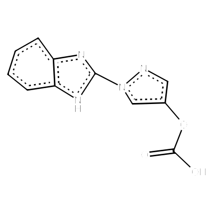 O=C(O)Oc1cnn(-c2nc3ccccc3[nH]2)c1